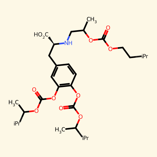 CC(C)CCOC(=O)OC(C)CN[C@@H](Cc1ccc(OC(=O)OC(C)C(C)C)c(OC(=O)OC(C)C(C)C)c1)C(=O)O